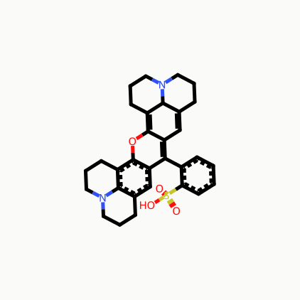 O=S(=O)(O)c1ccccc1C1=C2C=C3CCCN4CCCC(=C2Oc2c1cc1c5c2CCCN5CCC1)C34